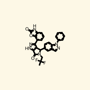 CC(F)(F)CN1C(=O)c2[nH]nc(-c3cccc4[nH]c(=O)oc34)c2C1c1ccc2c(cnn2-c2ccccc2)c1